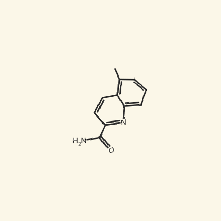 Cc1[c]ccc2nc(C(N)=O)ccc12